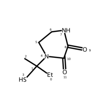 CCC(C)(S)N1CCNC(=O)C1=O